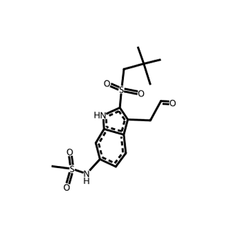 CC(C)(C)CS(=O)(=O)c1[nH]c2cc(NS(C)(=O)=O)ccc2c1CC=O